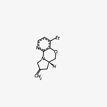 C=C1C[C@H]2COc3c(CC)ccnc3N2C1